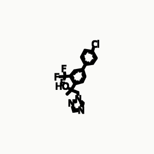 CC(O)(Cn1cncn1)c1ccc(-c2ccc(Cl)cc2)cc1C(F)(F)F